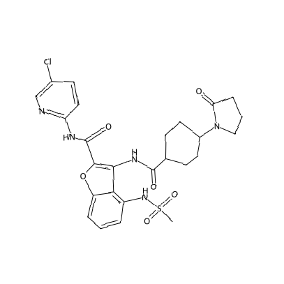 CS(=O)(=O)Nc1cccc2oc(C(=O)Nc3ccc(Cl)cn3)c(NC(=O)C3CCC(N4CCCC4=O)CC3)c12